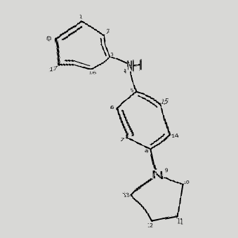 c1ccc(Nc2ccc(N3CCCC3)cc2)cc1